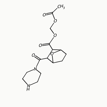 CC(=O)OCOC(=O)C1C2CCC(O2)C1C(=O)N1CCNCC1